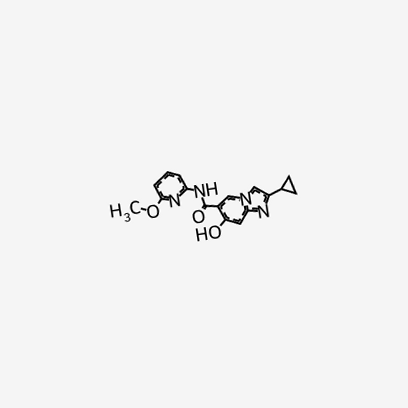 COc1cccc(NC(=O)c2cn3cc(C4CC4)nc3cc2O)n1